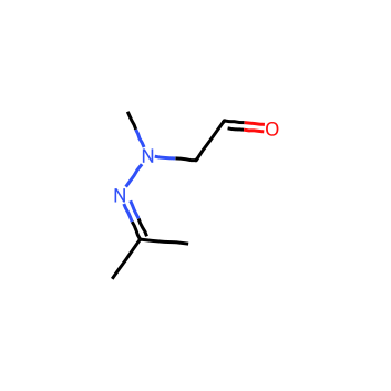 CC(C)=NN(C)CC=O